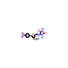 O=C1NC(=O)C(N=Cc2ccc(-c3ccc([N+](=O)[O-])cc3)o2)N1.[NaH]